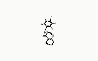 O=C1c2ccccc2N=C[SH]1Cc1c(F)c(F)c(F)c(F)c1F